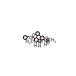 CC1=C(C(=O)OCc2ccccc2)C(c2ccccc2-c2ccc(NS(C)(=O)=O)cc2)c2cn[nH]c2N1